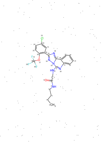 CCCCNC(=O)CNc1nc2ccccc2c2nc(-c3cc(Cl)ccc3OC(F)(F)F)nn12